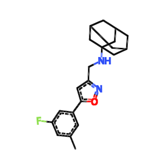 Cc1cc(F)cc(-c2cc(CNC34CC5CC(CC(C5)C3)C4)no2)c1